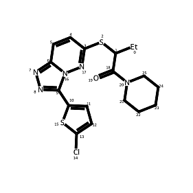 CCC(Sc1ccc2nnc(-c3ccc(Cl)s3)n2n1)C(=O)N1CCCCC1